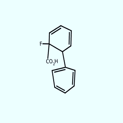 O=C(O)C1(F)C=CC=CC1c1ccccc1